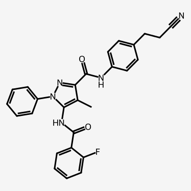 Cc1c(C(=O)Nc2ccc(CCC#N)cc2)nn(-c2ccccc2)c1NC(=O)c1ccccc1F